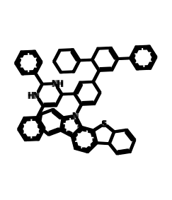 C1=CC2Sc3c(ccc4c5c(n(C6=CCC(C7=CC(c8ccccc8)=CCC7C7=CCCCC7)C=C6C6C=C(c7ccccc7)NC(c7ccccc7)N6)c34)=CCCC=5)C2C=C1